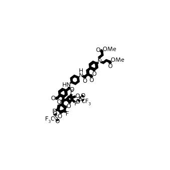 COC(=O)CCN(CCC(=O)OC)c1ccc2cc(C(=O)N[C@H]3CC[C@H](NC(=O)c4ccc5c(c4)C4(OC5=O)c5cc(F)c(OS(=O)(=O)C(F)(F)F)c(F)c5Oc5c4cc(F)c(OS(=O)(=O)C(F)(F)F)c5F)CC3)c(=O)oc2c1